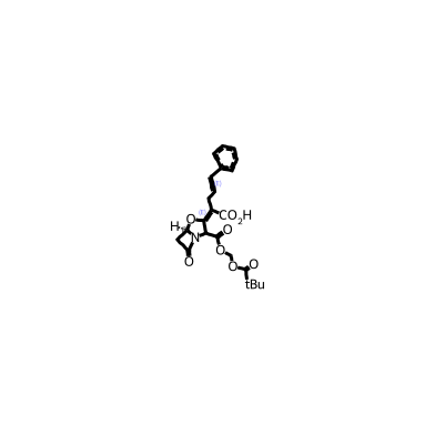 CC(C)(C)C(=O)OCOC(=O)C1/C(=C(/C/C=C/c2ccccc2)C(=O)O)O[C@@H]2CC(=O)N12